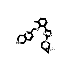 CCOC(=O)[C@@]12CCN(c3nc(-c4cccc(C)c4OCc4ccc5c(n4)CCNC5)cs3)CC1C2